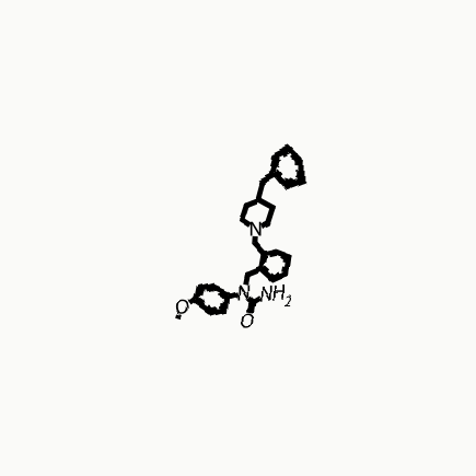 COc1ccc(N(Cc2ccccc2CN2CCC(Cc3ccccc3)CC2)C(N)=O)cc1